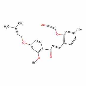 CCOc1cc(OCC=C(C)C)ccc1C(=O)C=Cc1ccc(C(C)(C)C)cc1OC=C=O